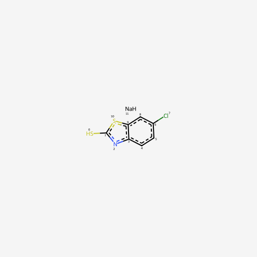 Sc1nc2ccc(Cl)cc2s1.[NaH]